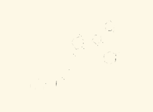 CC(C)(C)OC(=O)N1CCC2(CCN(c3nc(-c4cc(-c5ccon5)n(Cc5ccccc5F)n4)ncc3F)CC2)C1